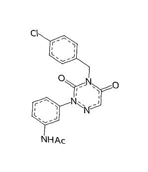 CC(=O)Nc1cccc(-n2ncc(=O)n(Cc3ccc(Cl)cc3)c2=O)c1